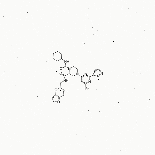 CC(C)c1cc(N2CCN(C(=O)NC3CCCCC3)C(C(=O)NCC3C=Cc4occc4O3)C2)nc(-n2ccnc2)n1